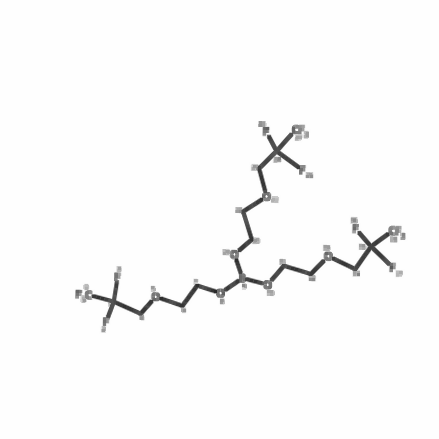 FC(F)(F)C(F)(F)COCCOB(OCCOCC(F)(F)C(F)(F)F)OCCOCC(F)(F)C(F)(F)F